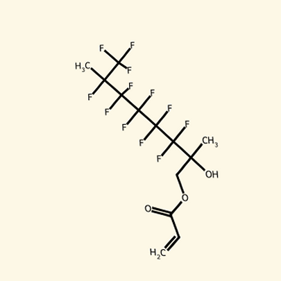 C=CC(=O)OCC(C)(O)C(F)(F)C(F)(F)C(F)(F)C(F)(F)C(C)(F)C(F)(F)F